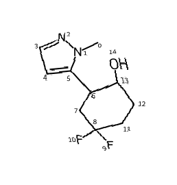 Cn1nccc1C1CC(F)(F)CCC1O